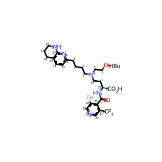 CC(C)(C)OCCN(CCCCc1ccc2c(n1)NCCC2)CC[C@H](NC(=O)c1c(F)cncc1C(F)(F)F)C(=O)O